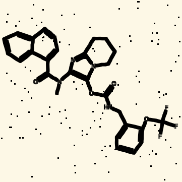 CN(C(=O)c1cccc2ccccc12)c1nc2n(c1OC(=O)NCc1ccccc1OC(F)(F)F)CCCC2